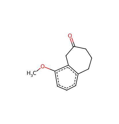 COc1cccc2c1CC(=O)CCC2